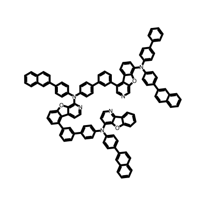 c1ccc(-c2ccc(N(c3ccc(-c4ccc5ccccc5c4)cc3)c3cccc4c3oc3cncc(-c5cccc(-c6ccc(N(c7ccc(-c8ccc9ccccc9c8)cc7)c7nccc8c7oc7cccc(-c9cccc(-c%10ccc(N(c%11ccc(-c%12ccc%13ccccc%13c%12)cc%11)c%11ccnc%12c%11oc%11ccccc%11%12)cc%10)c9)c78)cc6)c5)c34)cc2)cc1